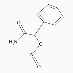 NC(=O)C(ON=O)c1ccccc1